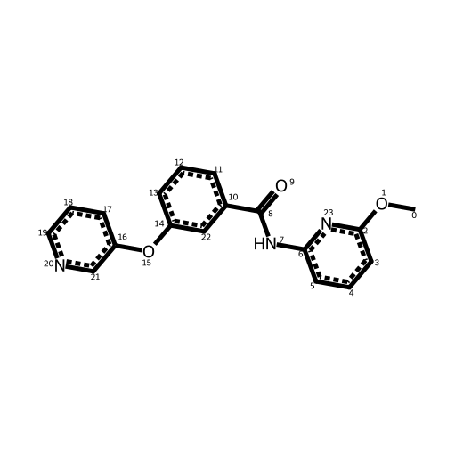 COc1cccc(NC(=O)c2cccc(Oc3cccnc3)c2)n1